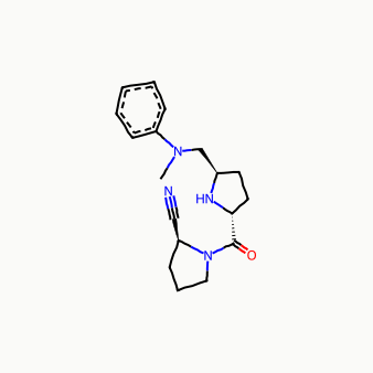 CN(C[C@H]1CC[C@H](C(=O)N2CCC[C@H]2C#N)N1)c1ccccc1